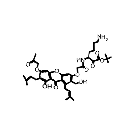 CC(=O)COc1cc2oc3cc(OCC(=O)N[C@@H](CCCCN)C(=O)C(=O)OC(C)(C)C)c(CO)c(CC=C(C)C)c3c(=O)c2c(O)c1CC=C(C)C